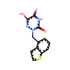 O=c1[nH]c(=O)n(Cc2cccc3sccc23)nc1O